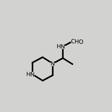 CC(NC=O)N1CCNCC1